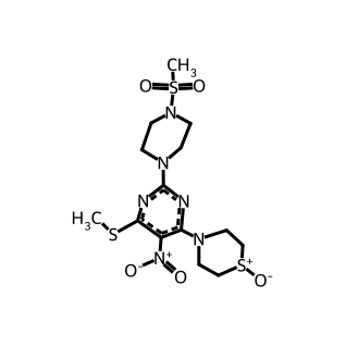 CSc1nc(N2CCN(S(C)(=O)=O)CC2)nc(N2CC[S+]([O-])CC2)c1[N+](=O)[O-]